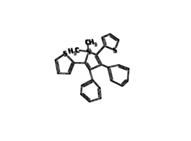 C[Si]1(C)C(c2cccs2)=C(c2ccccc2)C(c2ccccc2)=C1c1cccs1